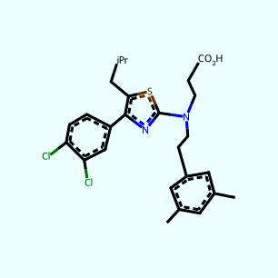 Cc1cc(C)cc(CCN(CCC(=O)O)c2nc(-c3ccc(Cl)c(Cl)c3)c(CC(C)C)s2)c1